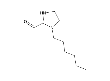 CCCCCCN1CCNC1C=O